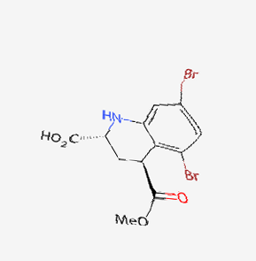 COC(=O)[C@H]1C[C@H](C(=O)O)Nc2cc(Br)cc(Br)c21